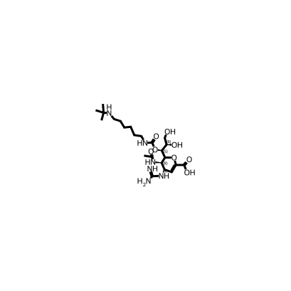 CC(=O)N[C@H]1C([C@@H](OC(=O)NCCCCCCNC(C)(C)C)[C@H](O)CO)OC(C(=O)O)=C[C@@H]1NC(=N)N